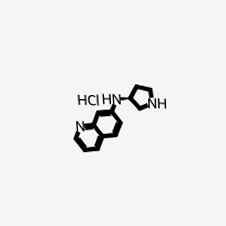 Cl.c1cnc2cc(N[C@H]3CCNC3)ccc2c1